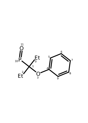 CCC(CC)(Oc1ccccc1)P=O